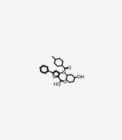 CC1CCC(C(=O)N(c2cc(-c3ccccc3)sc2C(=O)O)C2CCCC(O)C2)CC1